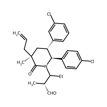 C=CC[C@@]1(C)C[C@H](c2cccc(Cl)c2)[C@@H](c2ccc(Cl)cc2)N(C(CC)[C@@H](C)C=O)C1=O